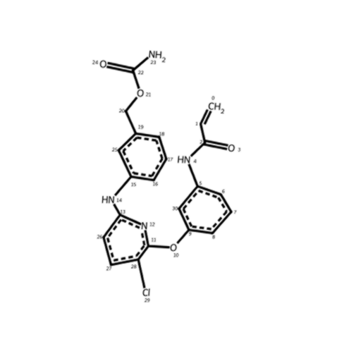 C=CC(=O)Nc1cccc(Oc2nc(Nc3cccc(COC(N)=O)c3)ccc2Cl)c1